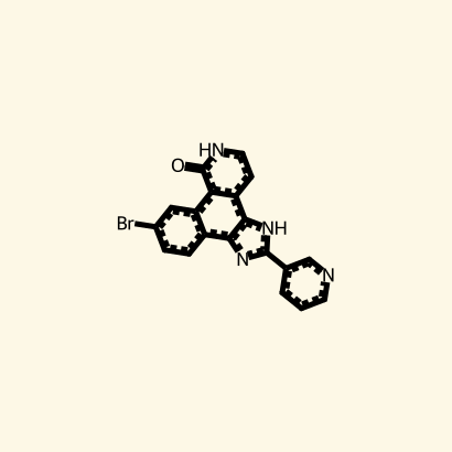 O=c1[nH]ccc2c3[nH]c(-c4cccnc4)nc3c3ccc(Br)cc3c12